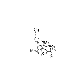 CNc1cc(N2CCC(CCO)CC2)c2c(NC)c(NC)n(-c3c(C)cc(Cl)cc3C)c2n1